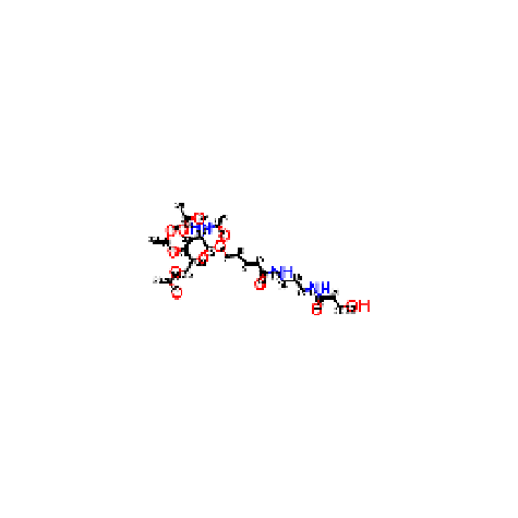 CC(=O)NC1C(OCCCCC(=O)NCCCNC(=O)CCO)OC(COC(C)=O)C(OC(C)=O)C1OC(C)=O